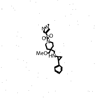 COCC1(CNC2CC2c2ccccc2)CCN(S(=O)(=O)c2cnn(C)c2)CC1